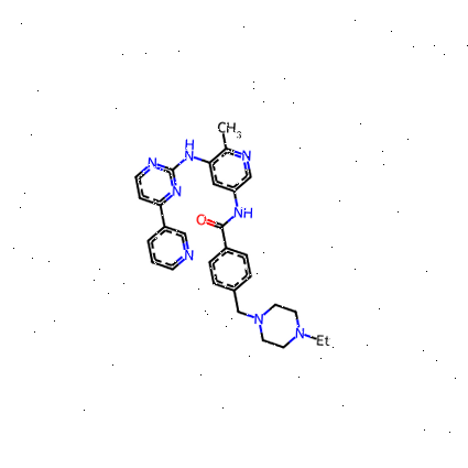 CCN1CCN(Cc2ccc(C(=O)Nc3cnc(C)c(Nc4nccc(-c5cccnc5)n4)c3)cc2)CC1